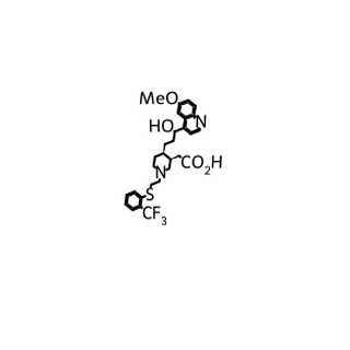 COc1ccc2nccc([C@H](O)CC[C@@H]3CCN(CCSc4ccccc4C(F)(F)F)C[C@@H]3CC(=O)O)c2c1